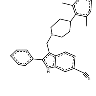 Cc1cccc(C)c1C1CCN(Cc2c(-c3ccccc3)[nH]c3cc(C#N)ccc23)CC1